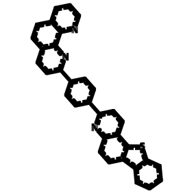 c1cnc2c(c1)ccc1ccc(-c3ccc(-c4ccc5c(ccc6c7ccccc7sc56)n4)cc3)nc12